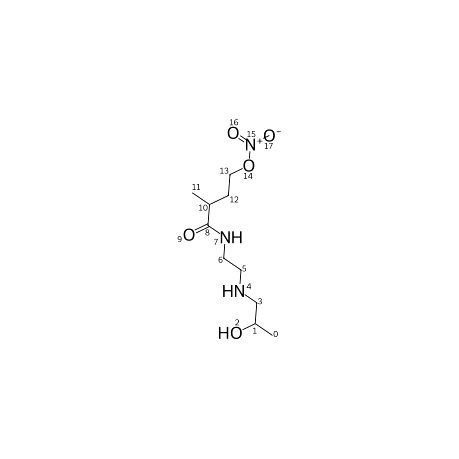 CC(O)CNCCNC(=O)C(C)CCO[N+](=O)[O-]